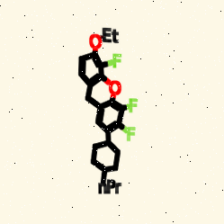 CCCC1CCC(c2cc3c(c(F)c2F)Oc2c(ccc(OCC)c2F)C3)CC1